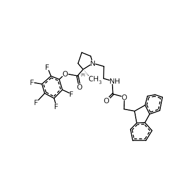 C[C@]1(C(=O)Oc2c(F)c(F)c(F)c(F)c2F)CCCN1CCNC(=O)OCC1c2ccccc2-c2ccccc21